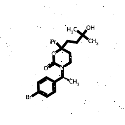 CC(C)C1(CCC(C)(C)O)CCN([C@@H](C)c2ccc(Br)cc2)C(=O)O1